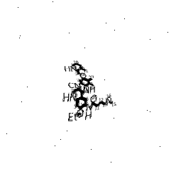 CCOc1cc2c(cc1NC(=O)CCCN(C)C)C(Nc1ccc(OCC3NCCCC3C)c(C)c1C)C(C#N)CN2